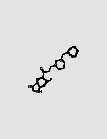 O=C(CCN1CCC[C@H](Cc2ccccc2)C1)c1cc2c(cc1F)N[CH]N2